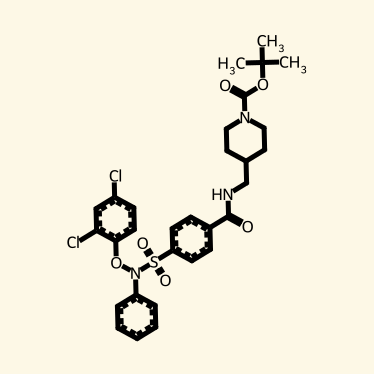 CC(C)(C)OC(=O)N1CCC(CNC(=O)c2ccc(S(=O)(=O)N(Oc3ccc(Cl)cc3Cl)c3ccccc3)cc2)CC1